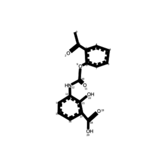 CC(=O)c1ccccc1OC(=O)Nc1cccc(C(=O)O)c1O